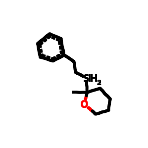 CC1([SiH2]CCc2ccccc2)CCCCO1